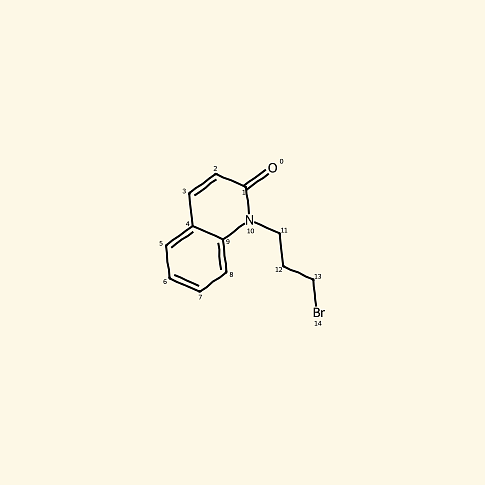 O=c1ccc2ccccc2n1CCCBr